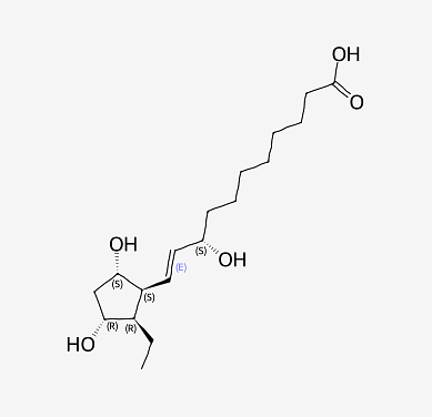 CC[C@@H]1[C@H](/C=C/[C@@H](O)CCCCCCCC(=O)O)[C@@H](O)C[C@H]1O